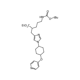 CCOC(=O)C(CCCNC(=O)OC(C)(C)C)Cc1cn(C2CCC(Oc3ccncc3)CC2)cn1